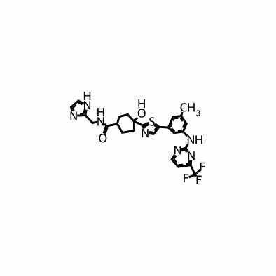 Cc1cc(Nc2nccc(C(F)(F)F)n2)cc(-c2cnc(C3(O)CCC(C(=O)NCc4ncc[nH]4)CC3)s2)c1